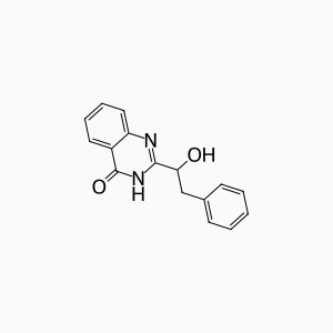 O=c1[nH]c(C(O)Cc2ccccc2)nc2ccccc12